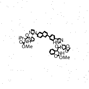 COC(=O)N[C@H](C(=O)N1CCC[C@H]1c1nccn1-c1ccc2cc(-c3ccc(-c4cnc([C@@H]5CC6(CN5C(=O)[C@H](NC(=O)OC)c5ccccc5)OCCO6)[nH]4)cc3)ccc2c1)C(C)C